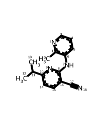 Cc1ncccc1Nc1nc(C(C)C)ccc1C#N